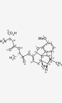 COc1ccc2c3c1OC1C(OC(=O)[C@H](C)OC(=O)C[C@H](N)C(=O)O)=CC[C@@]4(O)[C@@H](C2)N(C)CCC314